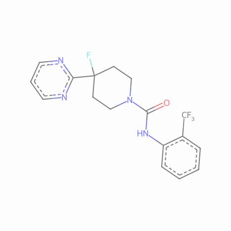 O=C(Nc1ccccc1C(F)(F)F)N1CCC(F)(c2ncccn2)CC1